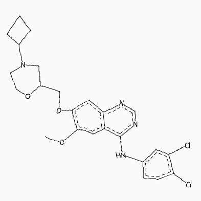 COc1cc2c(Nc3ccc(Cl)c(Cl)c3)ncnc2cc1OCC1CN(C2CCC2)CCO1